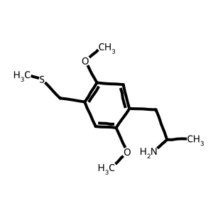 COc1cc(CC(C)N)c(OC)cc1CSC